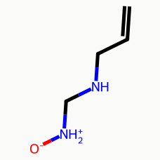 C=CCNC[NH2+][O-]